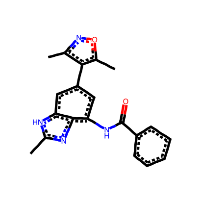 Cc1nc2c(NC(=O)c3ccccc3)cc(-c3c(C)noc3C)cc2[nH]1